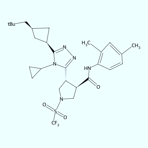 Cc1ccc(NC(=O)[C@H]2CN(S(=O)(=O)C(F)(F)F)C[C@@H]2c2nnc([C@H]3C[C@@H](CC(C)(C)C)C3)n2C2CC2)c(C)c1